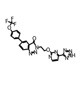 O=c1c2cc(-c3ccc(OC(F)(F)F)cc3)ccc2nnn1CCOc1nccc(-c2nn[nH]n2)n1